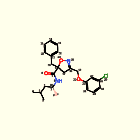 [B][C@H](CC(C)C)NC(=O)C1(Cc2ccccc2)CC(COc2cccc(Cl)c2)=NO1